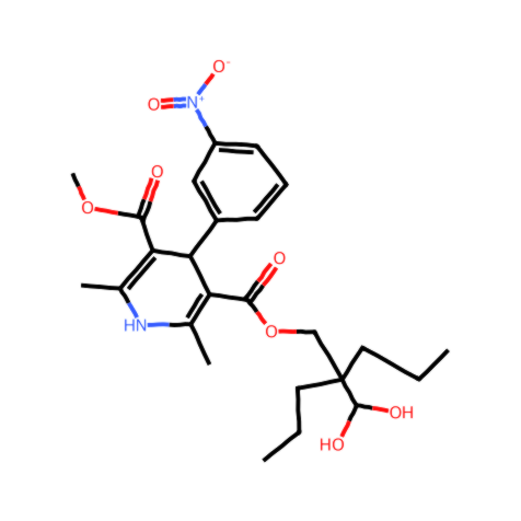 CCCC(CCC)(COC(=O)C1=C(C)NC(C)=C(C(=O)OC)C1c1cccc([N+](=O)[O-])c1)C(O)O